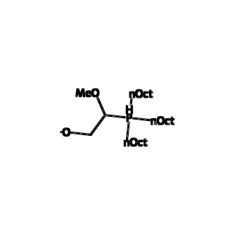 CCCCCCCC[PH](CCCCCCCC)(CCCCCCCC)C(C[O])OC